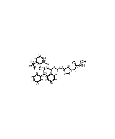 O=C(CN1CCC(OCCCN(Cc2cccc(C(F)(F)F)c2Cl)CC(c2ccccc2)c2ccccc2)C1)NO